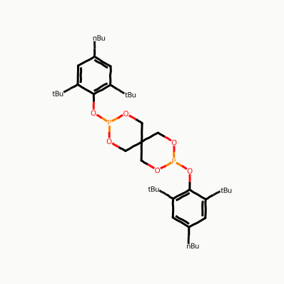 CCCCc1cc(C(C)(C)C)c(OP2OCC3(CO2)COP(Oc2c(C(C)(C)C)cc(CCCC)cc2C(C)(C)C)OC3)c(C(C)(C)C)c1